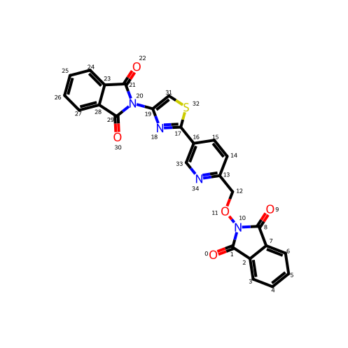 O=C1c2ccccc2C(=O)N1OCc1ccc(-c2nc(N3C(=O)c4ccccc4C3=O)cs2)cn1